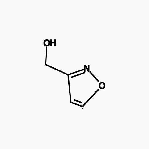 OCc1c[c]on1